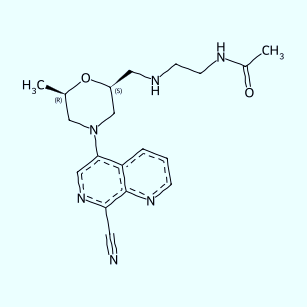 CC(=O)NCCNC[C@H]1CN(c2cnc(C#N)c3ncccc23)C[C@@H](C)O1